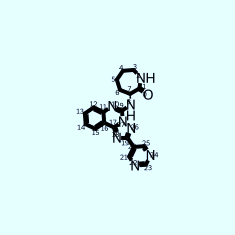 O=C1NCCCC[C@H]1Nc1nc2ccccc2c2nc(-c3cncnc3)nn12